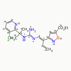 C=C/C(=C\N=C(/N)NC(C)(C)c1ncccc1Cl)c1cc(C(=O)OCC)on1